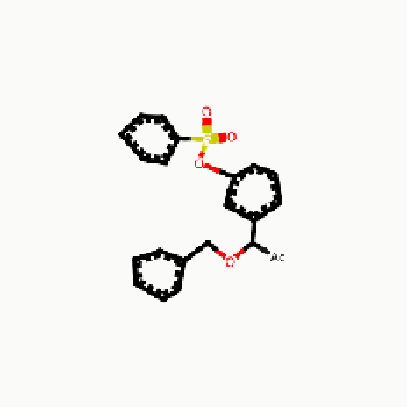 CC(=O)C(OCc1ccccc1)c1cccc(OS(=O)(=O)c2ccccc2)c1